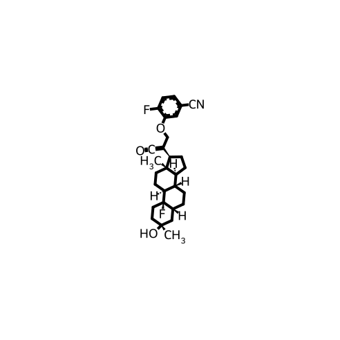 C[C@@]1(O)CC[C@@]2(F)[C@H](CC[C@H]3[C@@H]4CC[C@H](C(=C=O)COc5cc(C#N)ccc5F)[C@@]4(C)CC[C@@H]32)C1